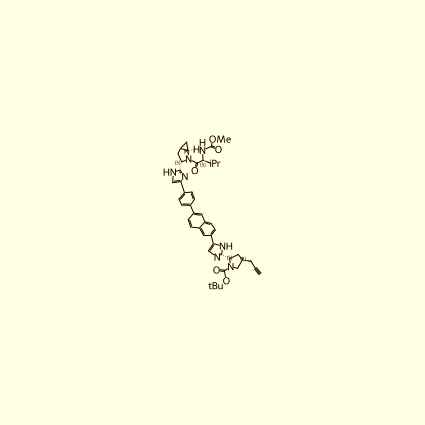 C#CC[C@@H]1C[C@@H](c2ncc(-c3ccc4cc(-c5ccc(-c6c[nH]c([C@@H]7CC8C[C@H]8N7C(=O)[C@@H](NC(=O)OC)C(C)C)n6)cc5)ccc4c3)[nH]2)N(C(=O)OC(C)(C)C)C1